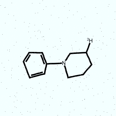 [2H]C1CCCN(c2ccccc2)C1